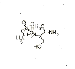 CC(N)C(N)CO.COS(=O)(=O)O